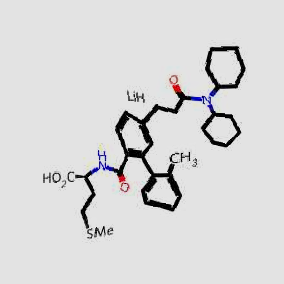 CSCC[C@H](NC(=O)c1ccc(CCC(=O)N(C2CCCCC2)C2CCCCC2)cc1-c1ccccc1C)C(=O)O.[LiH]